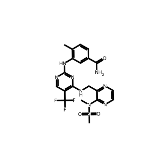 Cc1ccc(C(N)=O)cc1Nc1ncc(C(F)(F)F)c(NCc2nccnc2N(C)S(C)(=O)=O)n1